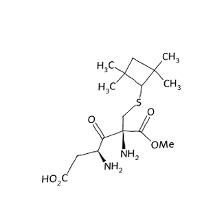 COC(=O)[C@@](N)(CSC1C(C)(C)CC1(C)C)C(=O)[C@@H](N)CC(=O)O